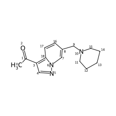 CC(=O)c1cnn2cc(CN3CCCCC3)ccc12